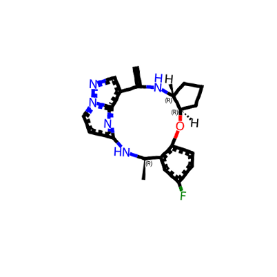 C=C1N[C@@H]2CCC[C@H]2Oc2ccc(F)cc2[C@@H](C)Nc2ccn3ncc1c3n2